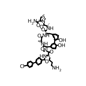 C[C@@H]1NC(=O)[C@@H](N(C)C(=O)[C@H](CCCCN)NC(=O)c2ccc(-c3ccc(Cl)cc3)cc2)c2ccc(O)c(c2)-c2cc(ccc2O)C[C@@H](C(=O)N[C@@H](C)C(=O)N2CSC[C@@H]2C(N)=O)NC1=O